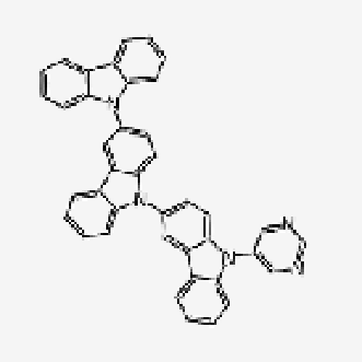 c1ccc2c(c1)c1ccccc1n2-c1ccc2c(c1)c1ccccc1n2-c1ccc2c(c1)c1ccccc1n2-c1cncnc1